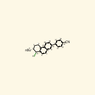 CCCC[C@@H]1CCc2c(ccc3cc(-c4ccc(C#N)cc4)ccc23)[C@H]1F